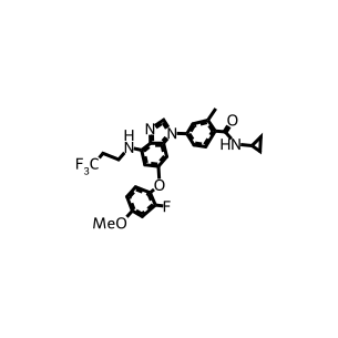 COc1ccc(Oc2cc(NCCC(F)(F)F)c3ncn(-c4ccc(C(=O)NC5CC5)c(C)c4)c3c2)c(F)c1